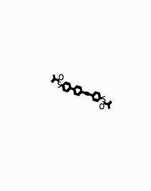 C=C(C)C(=O)Sc1ccc(C#Cc2ccc(-c3ccc(SC(=O)C(=C)C)cc3)cc2)cc1